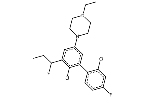 CCC(F)c1cc(N2CCN(CC)CC2)cc(-c2ccc(F)cc2Cl)c1Cl